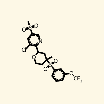 CC1(S(=O)(=O)c2cccc(OC(F)(F)F)c2)CCOC(c2ncc(S(C)(=O)=O)cc2Cl)C1